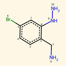 NCc1ccc(Br)cc1NN